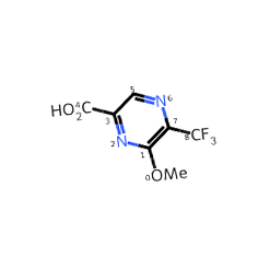 COc1nc(C(=O)O)cnc1C(F)(F)F